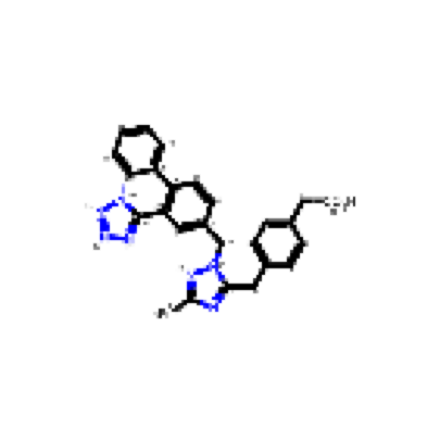 CCCCc1nc(Cc2ccc(CC(=O)O)cc2)n(Cc2ccc(-c3ccccc3)c(-c3nnn[nH]3)c2)n1